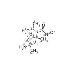 CC(C)C(C(=O)N=O)C(C)(C)CC(C)(C)N